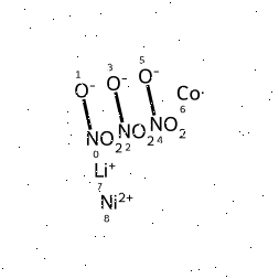 O=[N+]([O-])[O-].O=[N+]([O-])[O-].O=[N+]([O-])[O-].[Co].[Li+].[Ni+2]